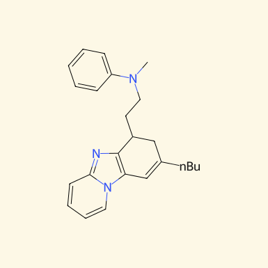 CCCCC1=Cc2c(nc3ccccn23)C(CCN(C)c2ccccc2)C1